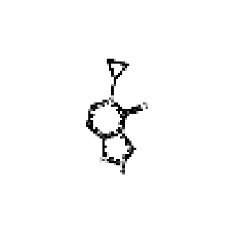 O=c1c2c[nH]nc2ccn1C1CC1